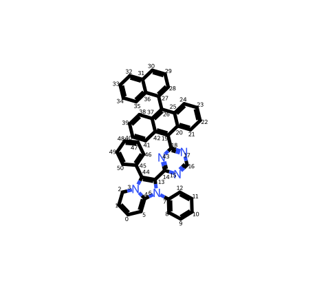 C1=CCN2C(=C1)N(c1ccccc1)C(c1ncnc(-c3c4ccccc4c(-c4cccc5ccccc45)c4ccccc34)n1)=C2c1ccccc1